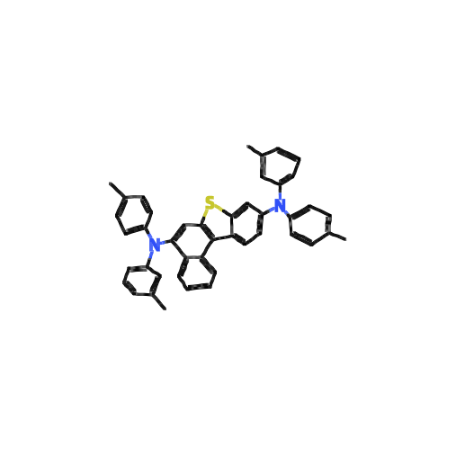 Cc1ccc(N(c2cccc(C)c2)c2ccc3c(c2)sc2cc(N(c4ccc(C)cc4)c4cccc(C)c4)c4ccccc4c23)cc1